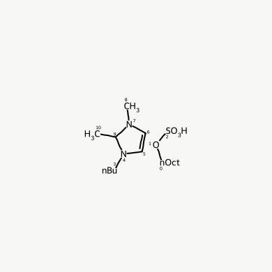 CCCCCCCCOS(=O)(=O)O.CCCCN1C=CN(C)C1C